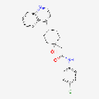 O=C(C[C@]1(O)CC[C@@H](c2ccnc3ccccc32)CC1)Nc1ccc(Cl)cc1